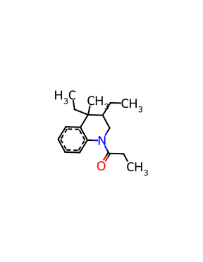 CCC(=O)N1CC(CC)C(C)(CC)c2ccccc21